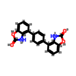 O=c1[nH]c2c(-c3ccc(-c4cccc5oc(=O)[nH]c45)cc3)cccc2o1